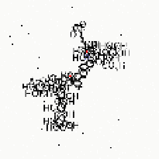 CC(=O)OC1C(C)OC(OC(O)C(OC2OC(C)C(OC3OCC(O)C(OC4OC(CO)C(O)C(O)C4O)C3O)C(O)C2O)C(OC(=O)[C@]23CCC(C)(C)CC2C2=CCC4[C@@]5(C)CC[C@H](OC6OC(C(=O)O)C(O)C(OC7OCC(O)C(O)C7O)C6OC6OC(CO)C(O)C(O)C6O)[C@@](C)(/C=N/NC(=O)CCCCCN6C(=O)C=CC6=O)C5CC[C@@]4(C)[C@]2(C)C[C@H]3O)OC(C)C)C(O)C1OC1OCC(O)C(O)C1O